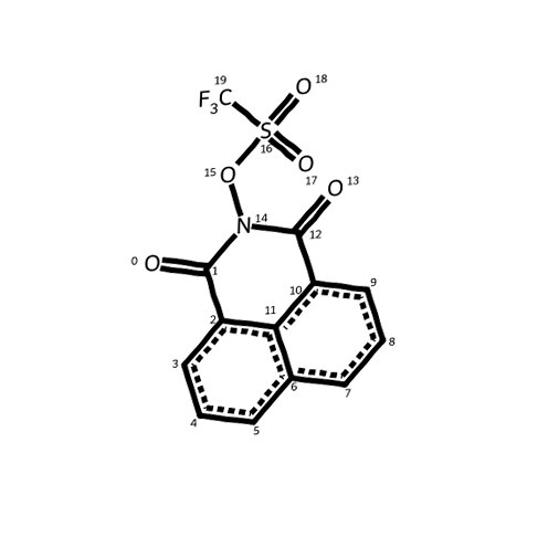 O=C1c2cccc3cccc(c23)C(=O)N1OS(=O)(=O)C(F)(F)F